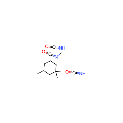 CC1CCCC(C)(C)C1.CN=C=O.N=C=O.N=C=O